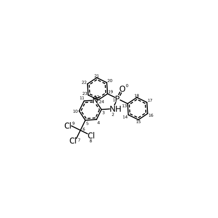 O=P(Nc1cc(C(Cl)(Cl)Cl)ccn1)(c1ccccc1)c1ccccc1